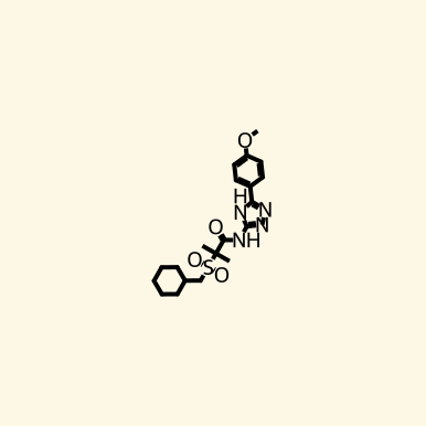 COc1ccc(-c2nnc(NC(=O)C(C)(C)S(=O)(=O)CC3CCCCC3)[nH]2)cc1